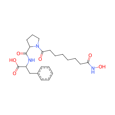 O=C(CCCCCCC(=O)N1CCCC1C(=O)NC(Cc1ccccc1)C(=O)O)NO